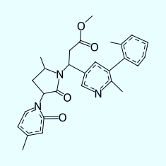 COC(=O)CC(c1cnc(C)c(-c2ccccc2C)c1)N1C(=O)C(n2ccc(C)cc2=O)CC1C